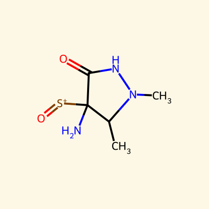 CC1N(C)NC(=O)C1(N)[S+]=O